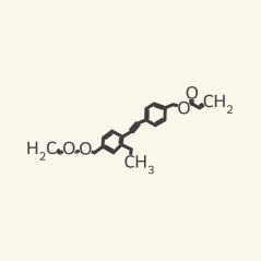 C=COCOCc1ccc(C#Cc2ccc(COC(=O)C=C)cc2)c(CC)c1